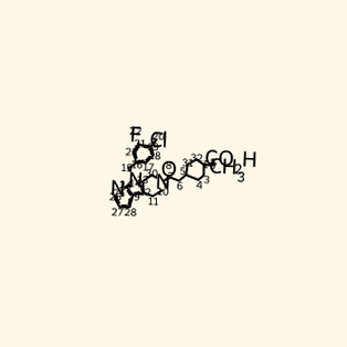 CC1(C(=O)O)CCC(CC(=O)N2CCc3c(n(Cc4ccc(Cl)c(F)c4)c4ncccc34)C2)CC1